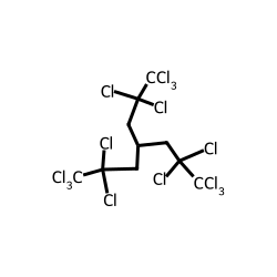 ClC(Cl)(Cl)C(Cl)(Cl)CC(CC(Cl)(Cl)C(Cl)(Cl)Cl)CC(Cl)(Cl)C(Cl)(Cl)Cl